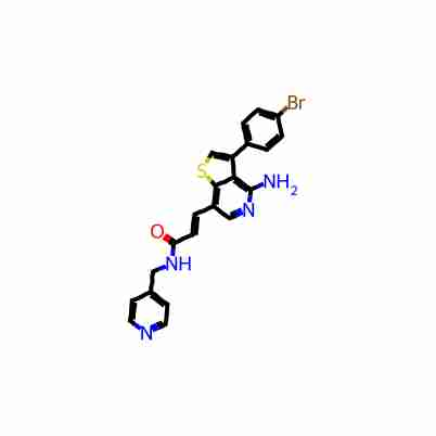 Nc1ncc(/C=C/C(=O)NCc2ccncc2)c2scc(-c3ccc(Br)cc3)c12